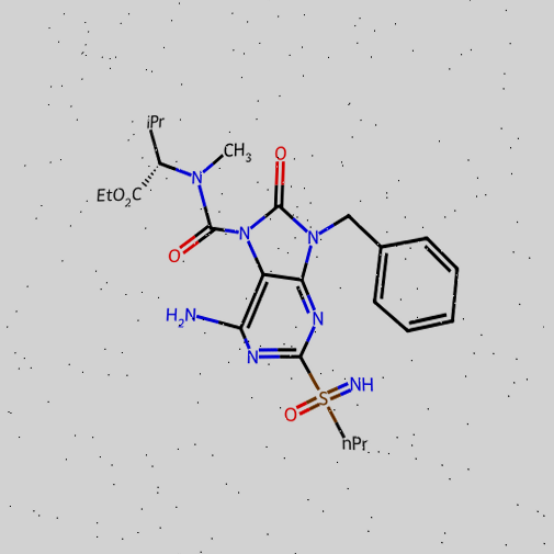 CCCS(=N)(=O)c1nc(N)c2c(n1)n(Cc1ccccc1)c(=O)n2C(=O)N(C)[C@H](C(=O)OCC)C(C)C